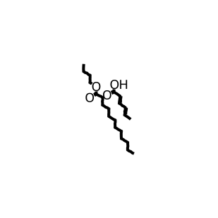 C/C=C/C=C/C(=O)O.CCCCCCCCCCCC(=O)OCCCC